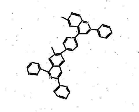 Cc1ccc2nc(-c3ccccc3)cc(-c3ccc(-c4cc5cc(-c6ccccc6)nc(-c6ccccc6)c5cc4C)cc3)c2c1